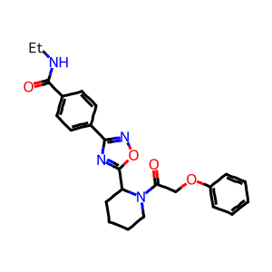 CCNC(=O)c1ccc(-c2noc(C3CCCCN3C(=O)COc3ccccc3)n2)cc1